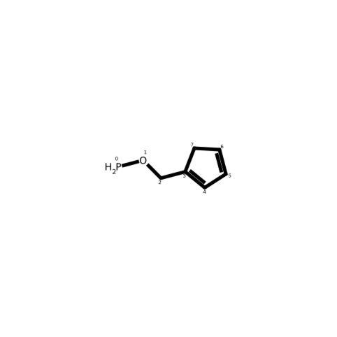 POCC1=CC=CC1